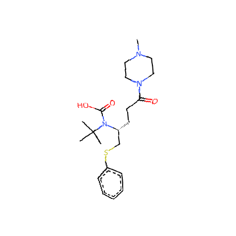 CN1CCN(C(=O)CC[C@H](CSc2ccccc2)N(C(=O)O)C(C)(C)C)CC1